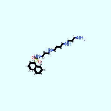 NCCCNCCCCNCCCNS(=O)(=O)c1cccc2ccccc12